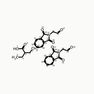 CCC(CC)C(=O)O.O=CCN1C(=O)c2ccccc2C1=O.O=CCN1C(=O)c2ccccc2C1=O